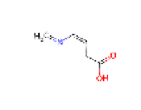 C=N/C=C\CC(=O)O